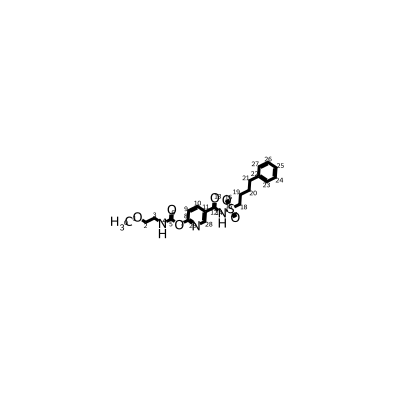 COCCNC(=O)Oc1ccc(C(=O)NS(=O)(=O)CCCCc2ccccc2)cn1